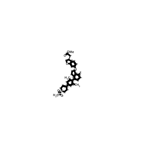 COC(=O)C[C@@H]1COc2cc(O[C@@H]3CCc4c(-c5c(C)cc(C6=CCN(S(C)(=O)=O)CC6)cc5C)ccc(F)c43)ccc21